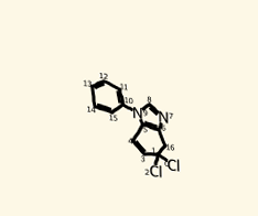 ClC1(Cl)C=Cc2c(ncn2-c2ccccc2)C1